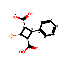 O=C(O)[C@H]1[C@H](P)[C@H](C(=O)O)[C@H]1c1ccccc1